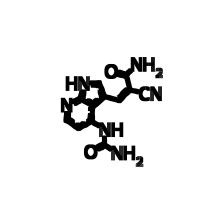 N#CC(=Cc1c[nH]c2nccc(NC(N)=O)c12)C(N)=O